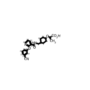 CC(OC1CCC(CNC(=O)c2cccnc2Oc2cccc(C#N)c2)CC1)C(=O)O